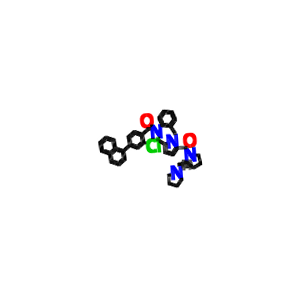 O=C(c1ccc(-c2cccc3ccccc23)cc1Cl)N1Cc2ccc(C(=O)N3CCC[C@H]3CN3CCCC3)n2Cc2ccccc21